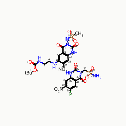 CC(C)(C)OC(=O)NCCNc1cc2c(=O)n(NS(C)(=O)=O)c(=O)[nH]c2cc1[N+](=O)[O-].NS(=O)(=O)Cn1c(=O)[nH]c2cc([N+](=O)[O-])c(F)cc2c1=O